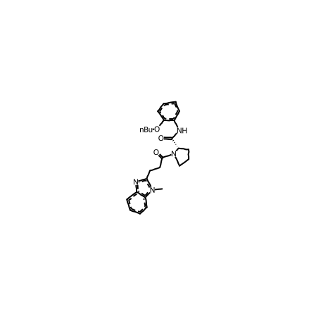 CCCCOc1ccccc1NC(=O)[C@@H]1CCCN1C(=O)CCc1nc2ccccc2n1C